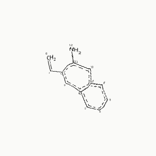 C=Cc1cc2ccccc2cc1N